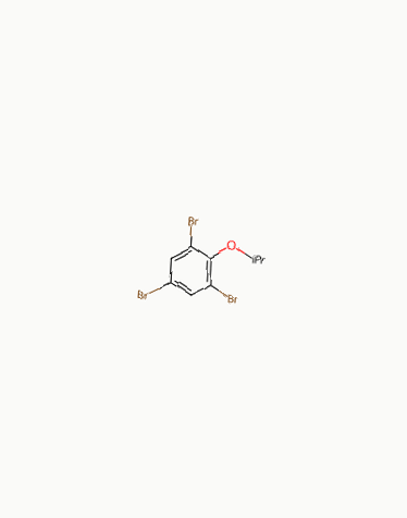 CC(C)Oc1c(Br)cc(Br)cc1Br